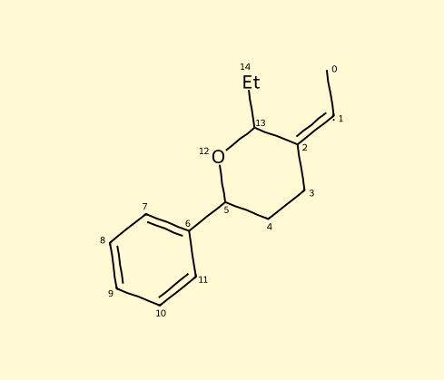 C/[C]=C1/CCC(c2ccccc2)OC1CC